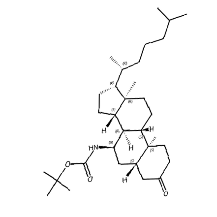 CC(C)CCC[C@@H](C)[C@H]1CC[C@H]2[C@@H]3[C@H](NC(=O)OC(C)(C)C)C[C@H]4CC(=O)CC[C@]4(C)[C@H]3CC[C@]12C